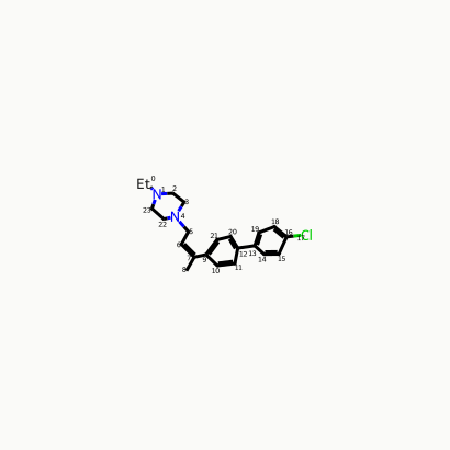 CCN1CCN(C/C=C(/C)c2ccc(-c3ccc(Cl)cc3)cc2)CC1